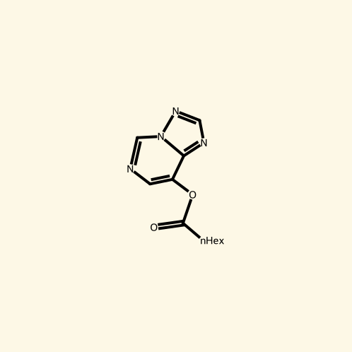 CCCCCCC(=O)Oc1cncn2ncnc12